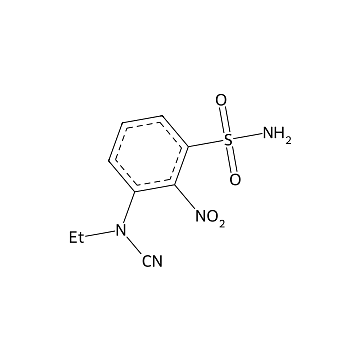 CCN(C#N)c1cccc(S(N)(=O)=O)c1[N+](=O)[O-]